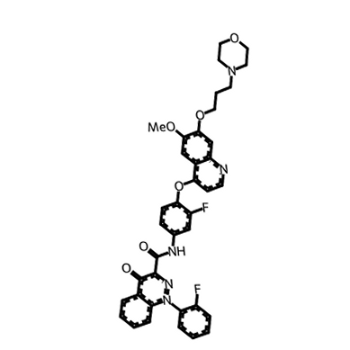 COc1cc2c(Oc3ccc(NC(=O)c4nn(-c5ccccc5F)c5ccccc5c4=O)cc3F)ccnc2cc1OCCCN1CCOCC1